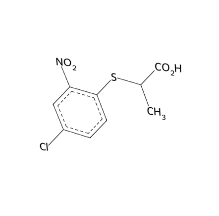 CC(Sc1ccc(Cl)cc1[N+](=O)[O-])C(=O)O